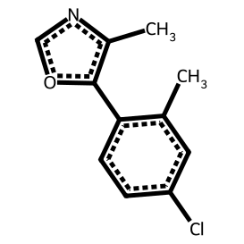 Cc1cc(Cl)ccc1-c1ocnc1C